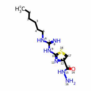 CCCCCCNC(=N)Nc1nc(C(=O)NN)cs1